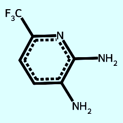 Nc1ccc(C(F)(F)F)nc1N